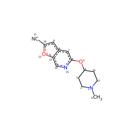 CN1CCC(Oc2cc3cc(C#N)oc3cn2)CC1